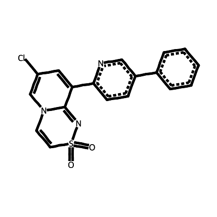 O=S1(=O)C=CN2C=C(Cl)C=C(c3ccc(-c4ccccc4)cn3)C2=N1